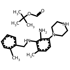 CC(C)(C)OC=O.Cc1ccccc1CNc1c(C)ccc(N2CCNCC2)c1N